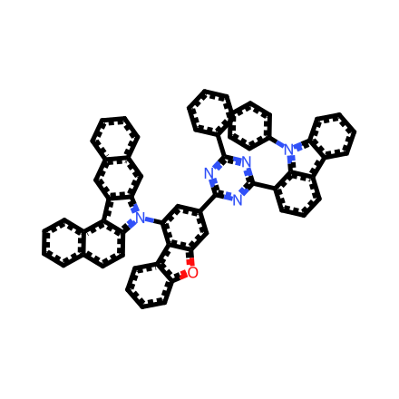 c1ccc(-c2nc(-c3cc(-n4c5cc6ccccc6cc5c5c6ccccc6ccc54)c4c(c3)oc3ccccc34)nc(-c3cccc4c5ccccc5n(-c5ccccc5)c34)n2)cc1